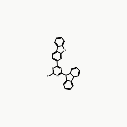 Clc1nc(-c2ccc3c(c2)oc2ccccc23)nc(N2c3ccccc3C3C=CC=CC32)n1